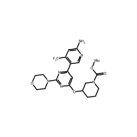 CC(C)(C)OC(=O)N1CCCC(Oc2cc(-c3cnc(N)cc3C(F)(F)F)nc(N3CCOCC3)n2)C1